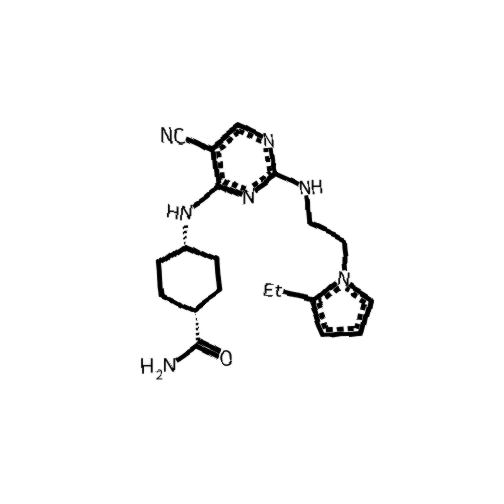 CCc1cccn1CCNc1ncc(C#N)c(N[C@H]2CC[C@@H](C(N)=O)CC2)n1